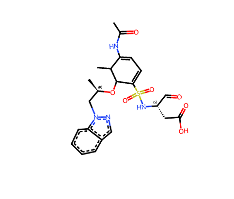 CC(=O)NC1=CC=C(S(=O)(=O)N[C@H](C=O)CC(=O)O)C(O[C@H](C)Cn2ncc3ccccc32)C1C